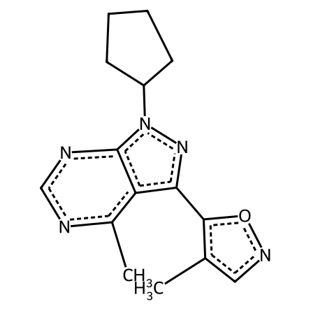 Cc1cnoc1-c1nn(C2CCCC2)c2ncnc(C)c12